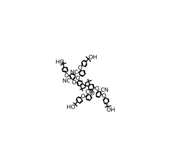 CC(C)(O)c1ccc(Oc2cccc(Oc3cc4c(cc3Oc3cccc(Oc5ccc(C(C)(C)O)cc5)c3C#N)C3(CC4(C)C)CC(C)(C)c4cc(Oc5cccc(Oc6ccc(C(C)(C)O)cc6)c5C#N)c(Oc5cccc(Oc6ccc(C(C)(C)O)cc6)c5C#N)cc43)c2C#N)cc1